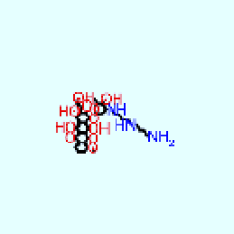 COc1cccc2c1C(=O)c1c(O)c3c(c(O)c1C2=O)C[C@@](O)(C(=O)CO)CC3O[C@H]1C[C@@H](NCCCCNCCCCN)[C@H](O)C(C)O1